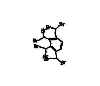 BrC(Br)c1ccc(C(Br)Br)c(C(Br)Br)c1C(Br)Br